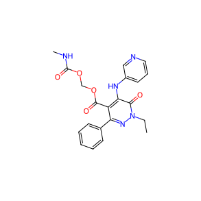 CCn1nc(-c2ccccc2)c(C(=O)OCOC(=O)NC)c(Nc2cccnc2)c1=O